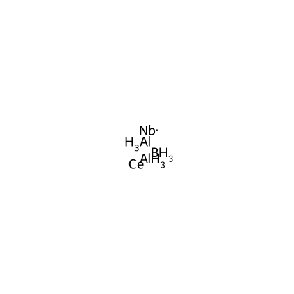 B.[AlH3].[AlH3].[Ce].[Nb]